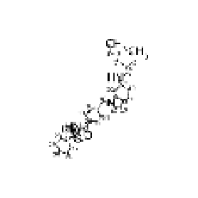 CCCCC(CC)CNc1ccc2ccn(Cc3ccc(C(=O)NS(=O)(=O)c4ccccc4)cc3)c2c1